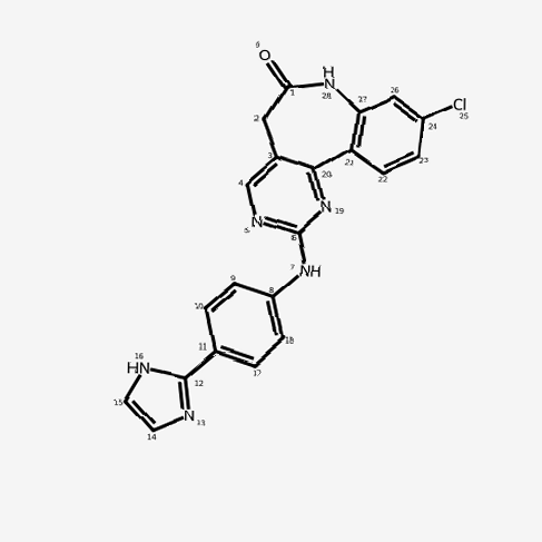 O=C1Cc2cnc(Nc3ccc(-c4ncc[nH]4)cc3)nc2-c2ccc(Cl)cc2N1